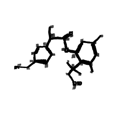 Cc1cc(C)c(C(C)(C)CC=O)c(OC(=O)C(C)c2ccc(CC(C)C)cc2)c1